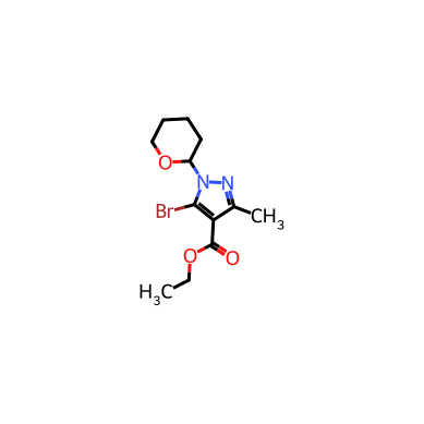 CCOC(=O)c1c(C)nn(C2CCCCO2)c1Br